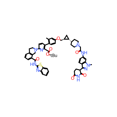 Cc1cc(OC[C@H]2C[C@@H]2C2CCN(CC(=O)Nc3ccc4c(C5CCC(=O)NC5=O)nn(C)c4c3)CC2)ccc1-c1ccc(N2CCc3cccc(C(=O)Nc4nc5ccccc5s4)c3C2)nc1C(=O)OC(C)(C)C